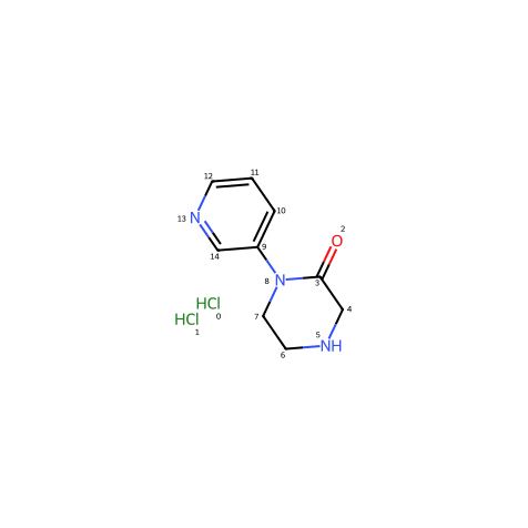 Cl.Cl.O=C1CNCCN1c1cccnc1